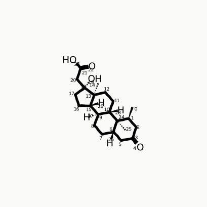 C[C@H]1CC(=O)C[C@@H]2CC[C@@H]3[C@H](CC[C@@]4(C)[C@H]3CC[C@@]4(O)CC(=O)O)[C@]21C